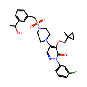 CC(O)c1cccc(CS(=O)(=O)N2CCN(c3cnn(-c4cccc(Cl)c4)c(=O)c3OCC3(C)CC3)CC2)c1